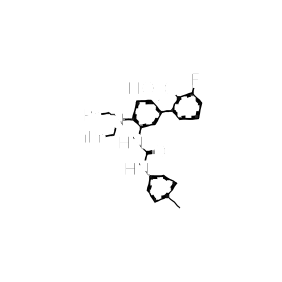 Cc1ccc(NC(=O)Nc2cc(-c3cccc(F)c3C(=O)O)ccc2N(CC(C)C)CC(C)C)cc1